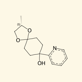 C[C@H]1COC2(CCC(O)(c3ccccn3)CC2)O1